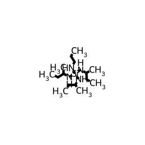 CCCN[Si](NC(C)CC)(NC(C)CC)NC(C)CC